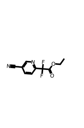 CCOC(=O)C(F)(F)c1ccc(C#N)cn1